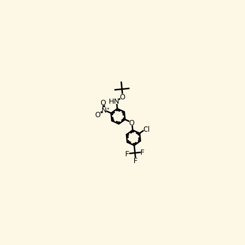 CC(C)(C)ONc1cc(Oc2ccc(C(F)(F)F)cc2Cl)ccc1[N+](=O)[O-]